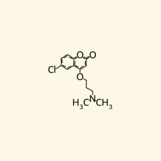 CN(C)CCCOc1cc(=O)oc2ccc(Cl)cc12